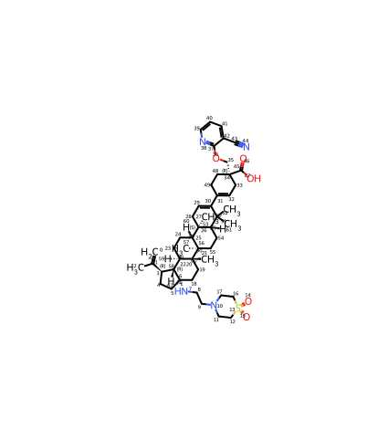 C=C(C)[C@@H]1CC[C@]2(NCCN3CCS(=O)(=O)CC3)CC[C@]3(C)[C@H](CC[C@@H]4[C@@]5(C)CC=C(C6=CC[C@](COc7ncccc7C#N)(C(=O)O)CC6)C(C)(C)[C@@H]5CC[C@]43C)[C@@H]12